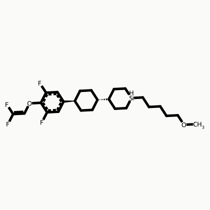 COCCCCC[SiH]1CCC([C@H]2CC[C@H](c3cc(F)c(OC=C(F)F)c(F)c3)CC2)CC1